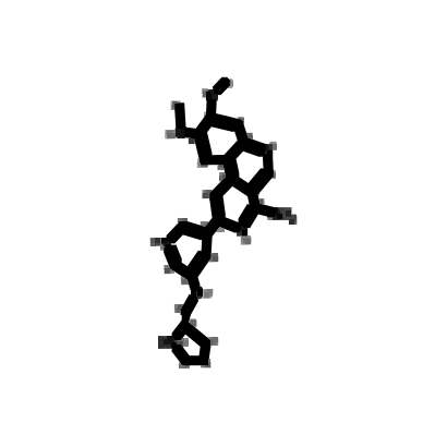 COc1cc2ncc3c(N)nc(-c4cncc(OC[C@H]5CCCN5)c4)cc3c2cc1OC